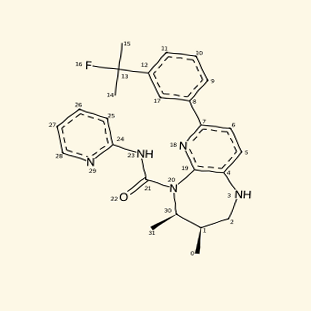 C[C@@H]1CNc2ccc(-c3cccc(C(C)(C)F)c3)nc2N(C(=O)Nc2ccccn2)[C@@H]1C